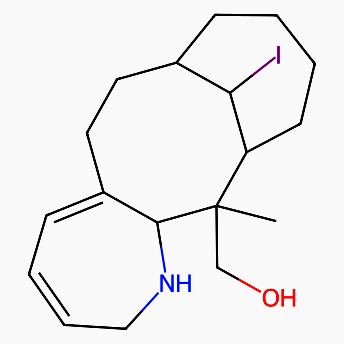 CC1(CO)C2NCC=CC=C2CCC2CCCCC1C2I